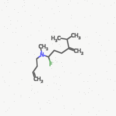 C=CCCN(C)C(F)CCC(=C)C(C)C